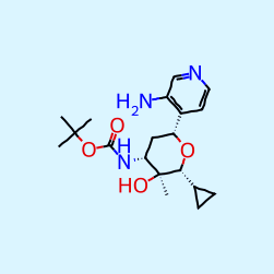 CC(C)(C)OC(=O)N[C@@H]1C[C@H](c2ccncc2N)O[C@H](C2CC2)[C@@]1(C)O